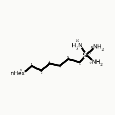 CCCCCCCCCCCC[Si](N)(N)N